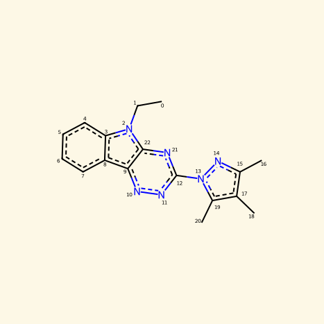 CCn1c2ccccc2c2nnc(-n3nc(C)c(C)c3C)nc21